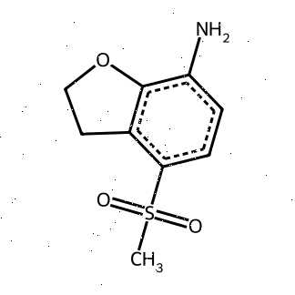 CS(=O)(=O)c1ccc(N)c2c1CCO2